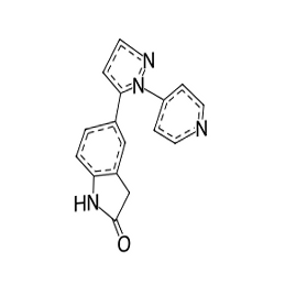 O=C1Cc2cc(-c3ccnn3-c3ccncc3)ccc2N1